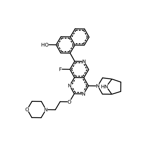 Oc1cc(-c2ncc3c(N4CC5CCC(C4)N5)nc(OCCN4CCOCC4)nc3c2F)c2ccccc2c1